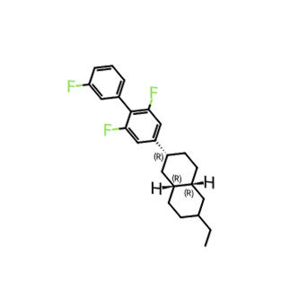 CCC1CC[C@@H]2C[C@H](c3cc(F)c(-c4cccc(F)c4)c(F)c3)CC[C@@H]2C1